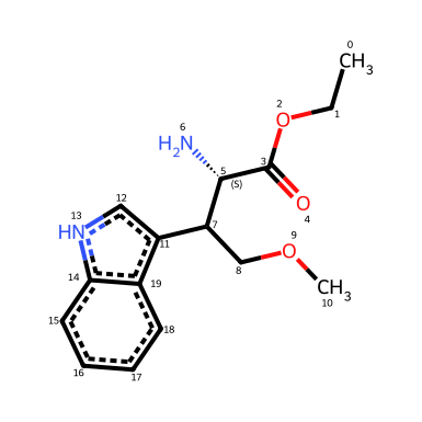 CCOC(=O)[C@@H](N)C(COC)c1c[nH]c2ccccc12